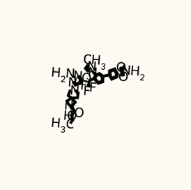 CCOC(=O)C1CC2(CCN(c3cc(O[C@H](c4ccc(-c5ccc(S(N)(=O)=O)cc5)cc4-n4ccc(C)n4)C(F)(F)F)nc(N)n3)CC2)CN1